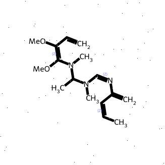 C=C/C(OC)=C(/OC)N(C)C(C)N(C)/C=N\C(=C)/C=C\C